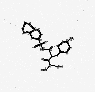 CCCCCN(CCCCC)C(=O)C(Cc1ccc(N)cc1)C(=O)NS(=O)(=O)c1ccc2ccccc2c1